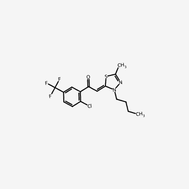 CCCCN1N=C(C)SC1=CC(=O)c1cc(C(F)(F)F)ccc1Cl